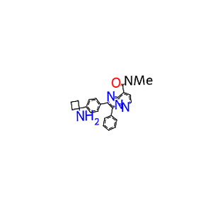 CNC(=O)c1ccnn2c(-c3ccccc3)c(-c3ccc(C4(N)CCC4)cc3)nc12